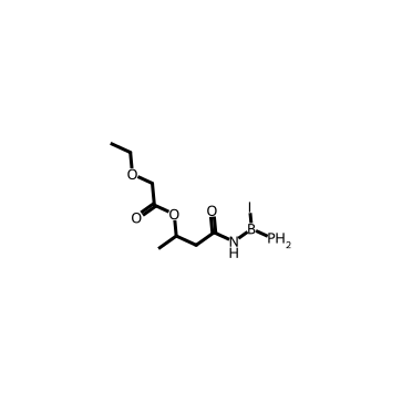 CCOCC(=O)OC(C)CC(=O)NB(P)I